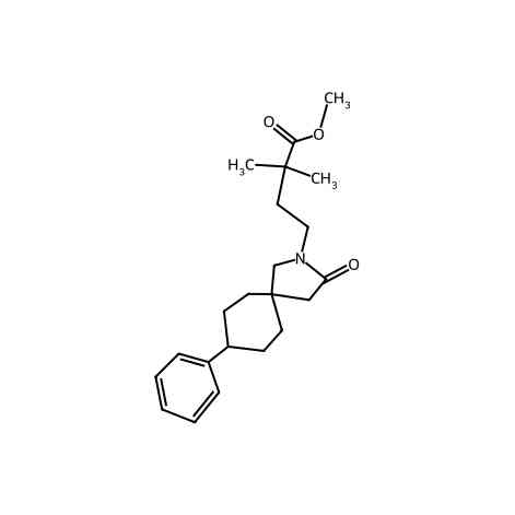 COC(=O)C(C)(C)CCN1CC2(CCC(c3ccccc3)CC2)CC1=O